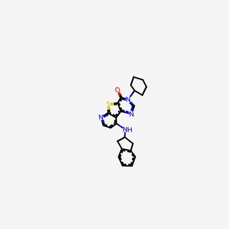 O=c1c2sc3nccc(NC4Cc5ccccc5C4)c3c2ncn1C1CCCCC1